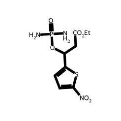 CCOC(=O)CC(OP(N)(N)=O)c1ccc([N+](=O)[O-])s1